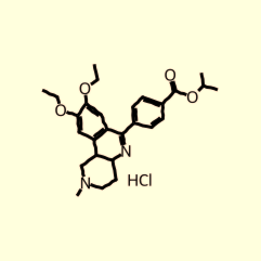 CCOc1cc2c(cc1OCC)C1CN(C)CCC1N=C2c1ccc(C(=O)OC(C)C)cc1.Cl